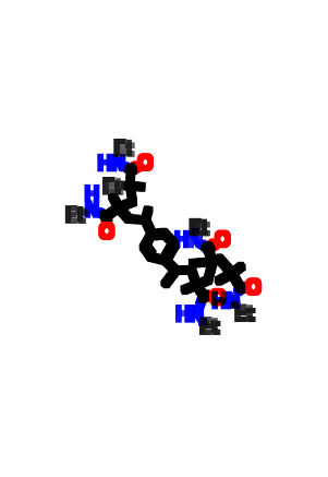 CCNC(=O)C(C)(C)CC(C)(CC(C)(CC(C)c1ccc(C(C)CC(C)(CC(C)(CC)C(=O)NCC)C(=O)NCC)cc1)C(=O)NCC)C(=O)NCC